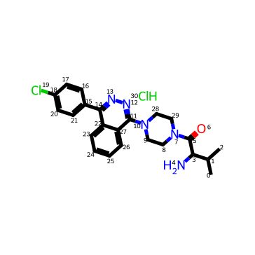 CC(C)C(N)C(=O)N1CCN(c2nnc(-c3ccc(Cl)cc3)c3ccccc23)CC1.Cl